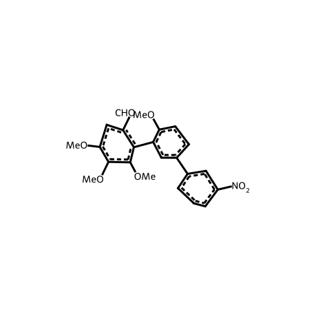 COc1ccc(-c2cccc([N+](=O)[O-])c2)cc1-c1c(C=O)cc(OC)c(OC)c1OC